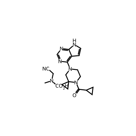 CN(CC#N)C(=O)O.O=C(C1CC1)N1CCN(c2ncnc3[nH]ccc23)CC12CC2